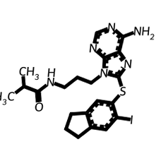 CC(C)C(=O)NCCCn1c(Sc2cc3c(cc2I)CCC3)nc2c(N)ncnc21